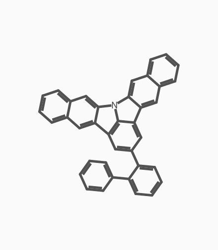 c1ccc(-c2ccccc2-c2cc3c4cc5ccccc5cc4n4c5cc6ccccc6cc5c(c2)c34)cc1